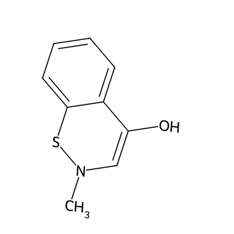 CN1C=C(O)c2ccccc2S1